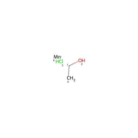 CCO.Cl.[Mn]